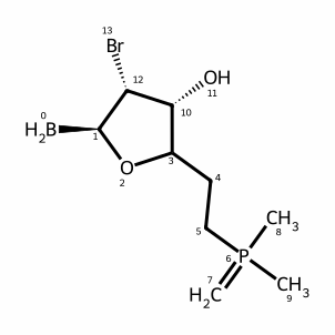 B[C@@H]1OC(CCP(=C)(C)C)[C@@H](O)[C@H]1Br